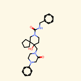 O=C1CN(c2ccccc2)CCN1CC1(O)CCN(C(=O)NCc2ccccc2)CC12CCCC2